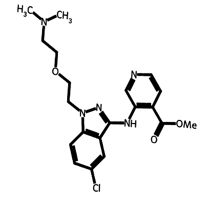 COC(=O)c1ccncc1Nc1nn(CCOCCN(C)C)c2ccc(Cl)cc12